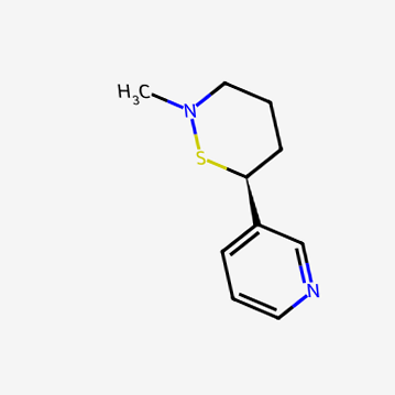 CN1CCC[C@@H](c2cccnc2)S1